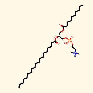 CCCCCCCCCCCCCCCCCCC(=O)O[C@H](COC(=O)CCCCCCCCC)COP(=O)(O)OCC[N+](C)(C)C